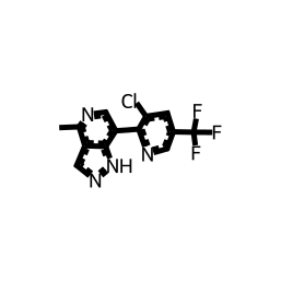 Cc1ncc(-c2ncc(C(F)(F)F)cc2Cl)c2[nH]ncc12